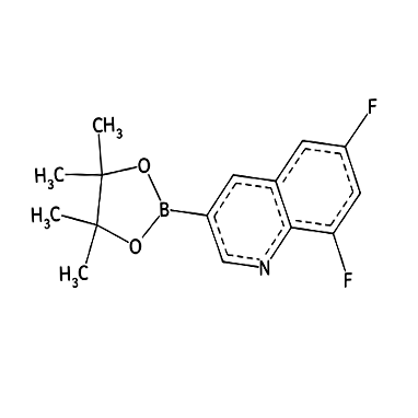 CC1(C)OB(c2cnc3c(F)cc(F)cc3c2)OC1(C)C